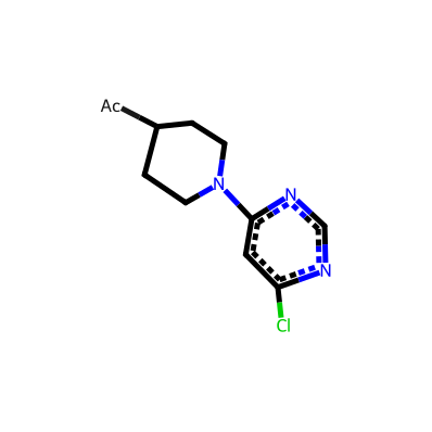 CC(=O)C1CCN(c2cc(Cl)ncn2)CC1